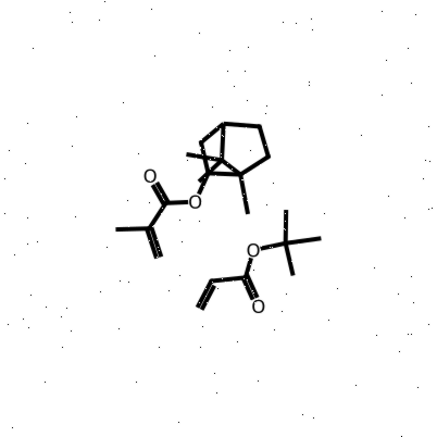 C=C(C)C(=O)OC1CC2CCC1(C)C2(C)C.C=CC(=O)OC(C)(C)C